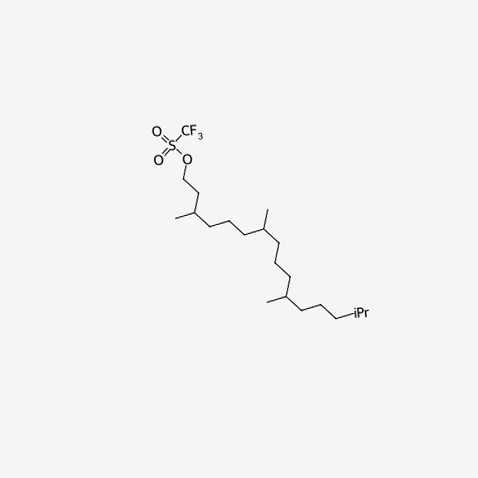 CC(C)CCCC(C)CCCC(C)CCCC(C)CCOS(=O)(=O)C(F)(F)F